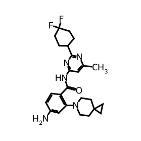 Cc1cc(NC(=O)c2ccc(N)cc2N2CCC3(CC2)CC3)nc(C2CCC(F)(F)CC2)n1